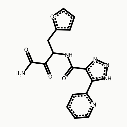 NC(=O)C(=O)C(Cc1ccco1)NC(=O)c1nn[nH]c1-c1ccccn1